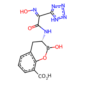 O=C(N[C@H]1Cc2cccc(C(=O)O)c2OB1O)/C(=N\O)c1nnn[nH]1